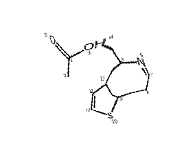 CC(=O)O.CC1N=CCC2SC=CC12